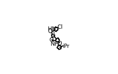 CC(C)c1ccccc1Oc1ccc(C2CCN(C(=O)C3C=CC(Cl)=CN3)C2)c(C(N)=O)c1